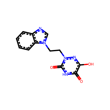 O=c1[nH]c(=O)n(CCn2cnc3ccccc32)nc1O